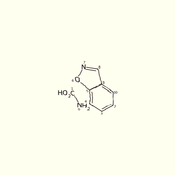 NC(=O)O.c1ccc2oncc2c1